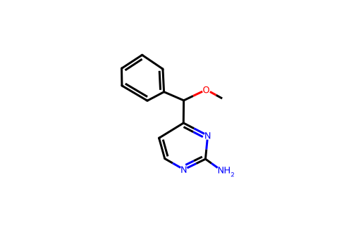 COC(c1ccccc1)c1ccnc(N)n1